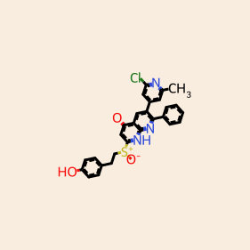 Cc1cc(-c2cc3c(=O)cc([S+]([O-])CCc4ccc(O)cc4)[nH]c3nc2-c2ccccc2)cc(Cl)n1